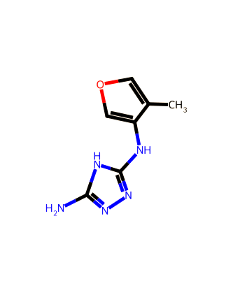 Cc1cocc1Nc1nnc(N)[nH]1